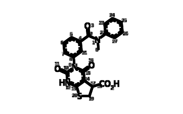 CN(C(=O)c1cccc(-n2c(=O)[nH]c3c(c2=O)C(C(=O)O)CS3)c1)c1ccccc1